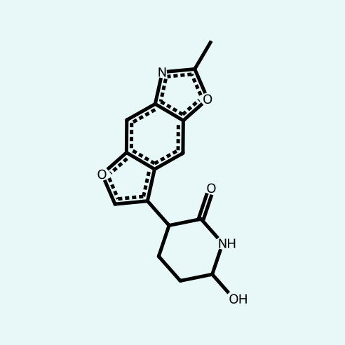 Cc1nc2cc3occ(C4CCC(O)NC4=O)c3cc2o1